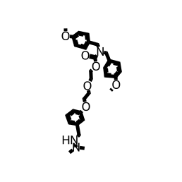 COc1ccc(CN(Cc2ccc(OC)cc2)C(=O)OCCOCCOc2cccc(CNN(C)C)c2)cc1